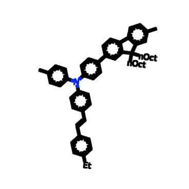 CCCCCCCCC1(CCCCCCCC)c2cc(C)ccc2-c2ccc(-c3ccc(N(c4ccc(C)cc4)c4ccc(/C=C/c5ccc(CC)cc5)cc4)cc3)cc21